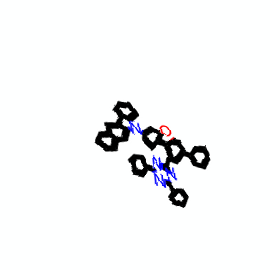 c1ccc(-c2cc(-c3nc(-c4ccccc4)nc(-c4ccccc4)n3)c3c(c2)oc2cc(-n4c5ccccc5c5cc6ccccc6cc54)ccc23)cc1